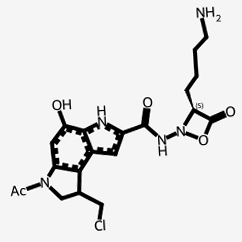 CC(=O)N1CC(CCl)c2c1cc(O)c1[nH]c(C(=O)NN3OC(=O)[C@@H]3CCCCN)cc21